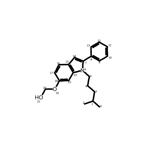 CC(C)CCCn1c(-c2ccccc2)cc2ccc(OCO)cc21